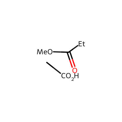 CC(=O)O.CCC(=O)OC